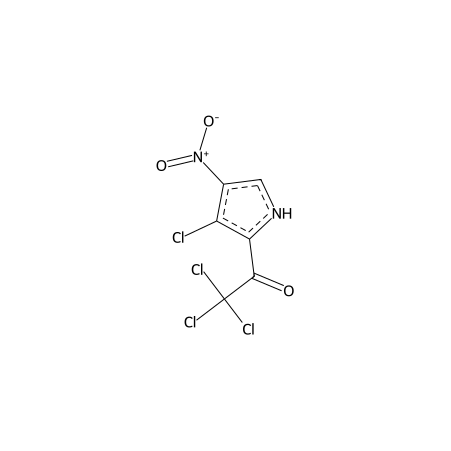 O=C(c1[nH]cc([N+](=O)[O-])c1Cl)C(Cl)(Cl)Cl